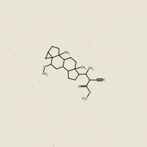 COC(=O)C(C#N)C(C)C1CCC2C3CC(OC)C45CC4CCC5(C)C3CCC12C